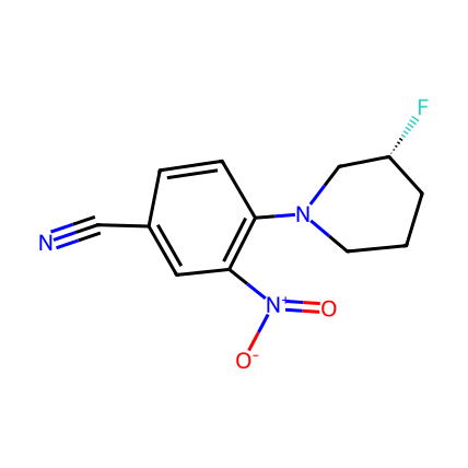 N#Cc1ccc(N2CCC[C@@H](F)C2)c([N+](=O)[O-])c1